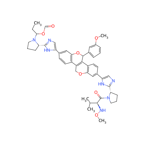 CCC(OC=O)N1CCC[C@H]1c1ncc(-c2ccc3c(c2)OC(c2cccc(OC)c2)C2=C3COc3cc(-c4cnc([C@@H]5CCCN5C(=O)[C@@H](NOC)C(C)C)[nH]4)ccc32)[nH]1